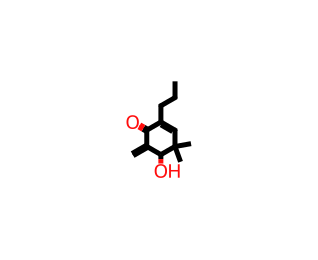 C=C1C(=O)C(CCC)=CC(C)(C)C1O